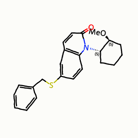 CO[C@H]1CCCC[C@@H]1n1c(=O)ccc2cc(SCc3ccccc3)ccc21